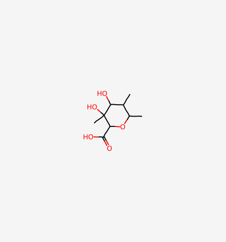 CC1OC(C(=O)O)C(C)(O)C(O)C1C